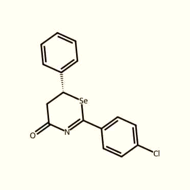 O=C1C[C@H](c2ccccc2)[Se]C(c2ccc(Cl)cc2)=N1